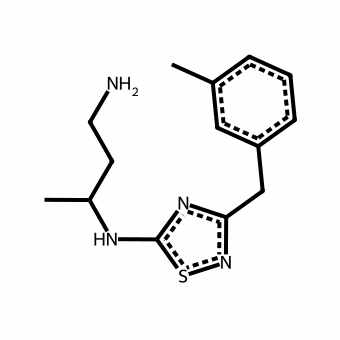 Cc1cccc(Cc2nsc(NC(C)CCN)n2)c1